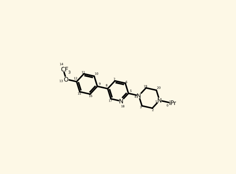 CC(C)N1CCN(c2ccc(-c3ccc(OC(F)(F)F)cc3)cn2)CC1